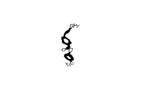 CCCC=CC1CCC(C(=O)Oc2ccc(OCC)cc2)CC1